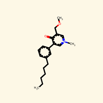 CCCCCCc1cccc(-c2cn(C)cc(COC)c2=O)c1